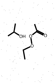 CC(C)O.CCOOC(C)=O